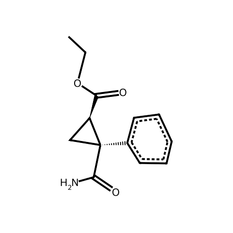 CCOC(=O)[C@@H]1C[C@@]1(C(N)=O)c1ccccc1